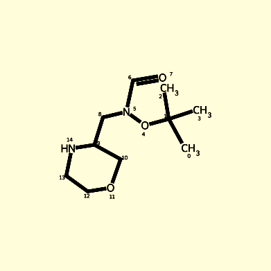 CC(C)(C)ON(C=O)CC1[CH]OCCN1